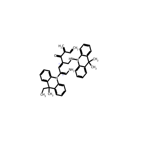 C=CC(=C)C(=O)/C(=C/C(=C\N)N1c2ccccc2C(C)(CC)c2ccccc21)CNN1c2ccccc2C(C)(C)c2ccccc21